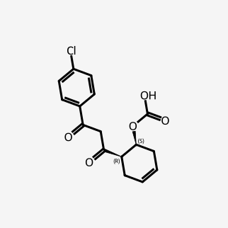 O=C(O)O[C@H]1CC=CC[C@H]1C(=O)CC(=O)c1ccc(Cl)cc1